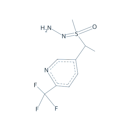 CC(c1ccc(C(F)(F)F)nc1)S(C)(=O)=NN